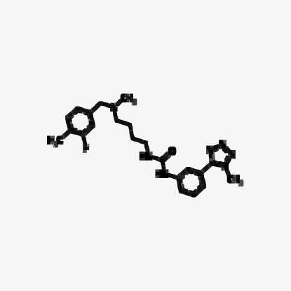 Cc1ccc(CN(C)CCCCNC(=O)Nc2cccc(-c3nnnn3C)c2)cc1F